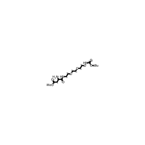 COC(=O)CC(N)C(=O)NCCOCCOCCONC(=O)OC(C)(C)C